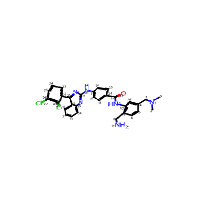 CN(C)Cc1ccc(CN)c(NC(=O)c2ccc(Nc3nc(-c4cccc(Cl)c4Cl)c4ccccc4n3)cc2)c1